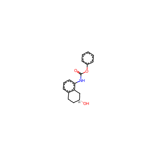 O=C(Nc1cccc2c1C[C@H](O)CC2)Oc1ccccc1